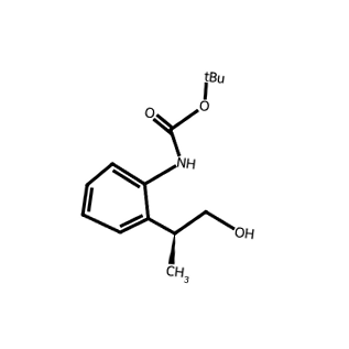 C[C@H](CO)c1ccccc1NC(=O)OC(C)(C)C